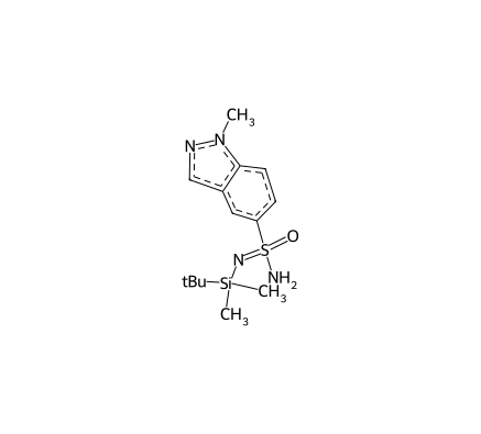 Cn1ncc2cc(S(N)(=O)=N[Si](C)(C)C(C)(C)C)ccc21